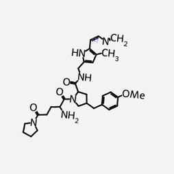 C=N/C=C\c1[nH]c(CNC(=O)C2CC(Cc3ccc(OC)cc3)CN2C(=O)C(N)CCC(=O)N2CCCC2)cc1C